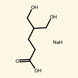 O=C(O)CCC(CO)CO.[NaH]